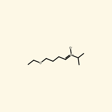 CCOCCCC=[N+]([O-])C(C)C